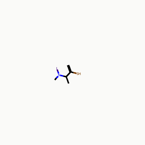 C=C(S)C(C)N(C)I